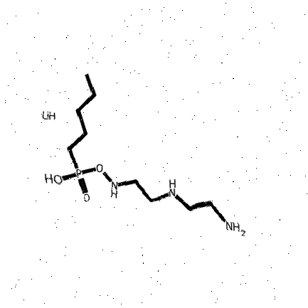 CCCCCP(=O)(O)ONCCNCCN.[LiH]